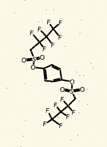 O=S(=O)(CC(F)(F)C(F)(F)C(F)(F)F)Oc1ccc(OS(=O)(=O)CC(F)(F)C(F)(F)C(F)(F)F)cc1